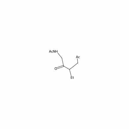 CCC(CC(C)=O)C(=O)CNC(C)=O